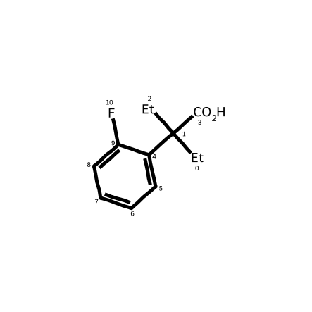 CCC(CC)(C(=O)O)c1ccccc1F